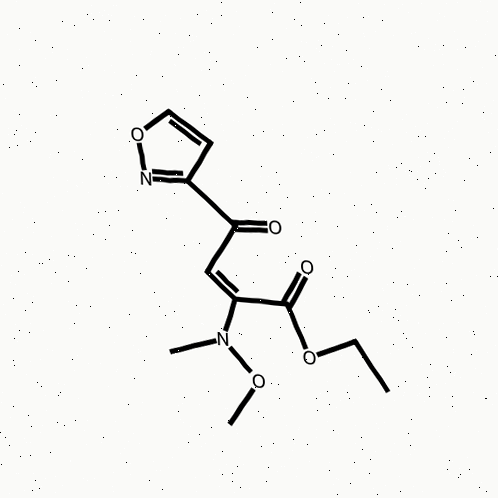 CCOC(=O)/C(=C\C(=O)c1ccon1)N(C)OC